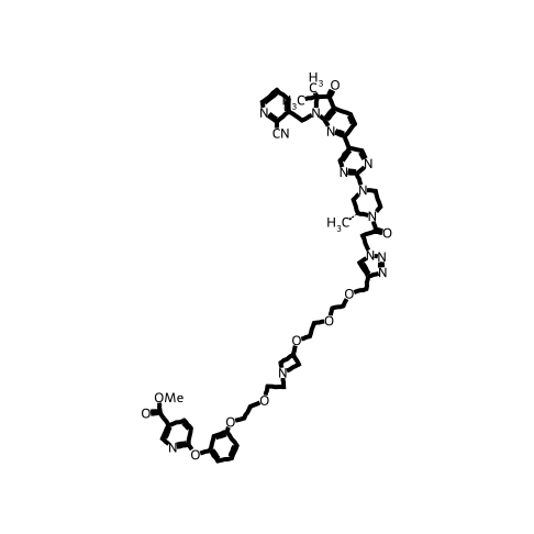 COC(=O)c1ccc(Oc2cccc(OCCOCCN3CC(OCCOCCOCc4cn(CC(=O)N5CCN(c6ncc(-c7ccc8c(n7)N(Cc7cccnc7C#N)C(C)(C)C8=O)cn6)C[C@H]5C)nn4)C3)c2)nc1